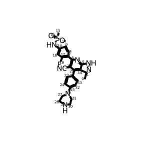 Cc1n[nH]c2nc(-c3ccc(NS(C)(=O)=O)cc3F)c(C#N)c(-c3ccc(N4CCNCC4)cc3)c12